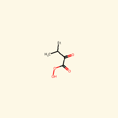 CCC(C)C(=O)C(=O)OO